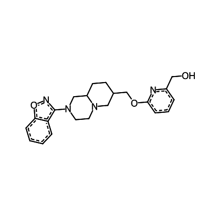 OCc1cccc(OCC2CCC3CN(c4noc5ccccc45)CCN3C2)n1